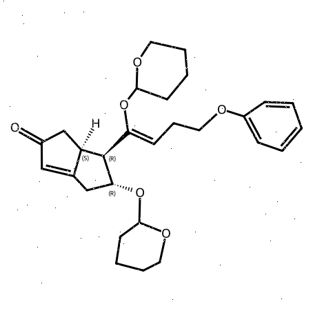 O=C1C=C2C[C@@H](OC3CCCCO3)[C@H](C(=CCCOc3ccccc3)OC3CCCCO3)[C@@H]2C1